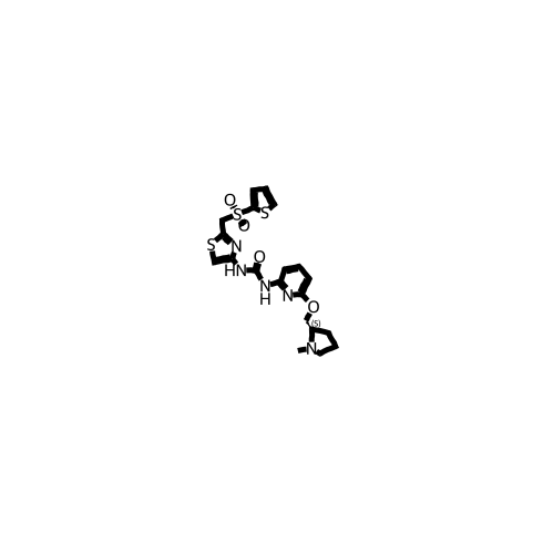 CN1CCC[C@H]1COc1cccc(NC(=O)Nc2csc(CS(=O)(=O)c3cccs3)n2)n1